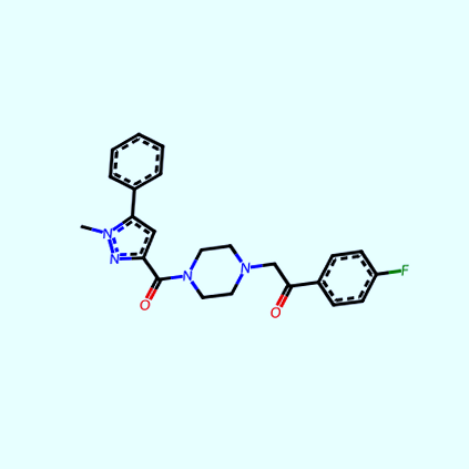 Cn1nc(C(=O)N2CCN(CC(=O)c3ccc(F)cc3)CC2)cc1-c1ccccc1